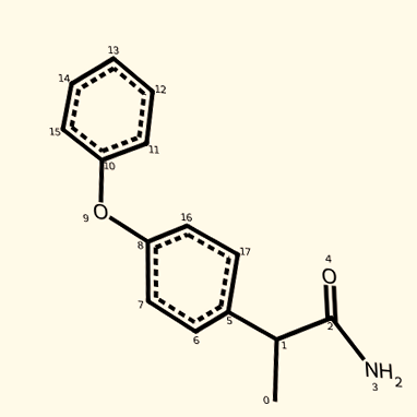 CC(C(N)=O)c1ccc(Oc2ccccc2)cc1